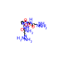 NC(N)=NCCC[C@@H](C=O)NC(=O)CNC(=O)[C@@H]1CCCN1C(=O)CNC(=O)[C@@H](N)CCCN=C(N)N